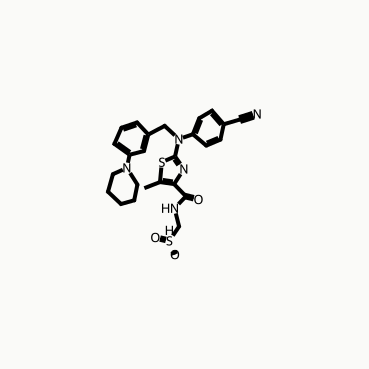 Cc1sc(N(Cc2cccc(N3CCCCC3)c2)c2ccc(C#N)cc2)nc1C(=O)NC[SH](=O)=O